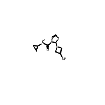 O=C(NC1CC1)N1C=CSC1N1CC(O)C1